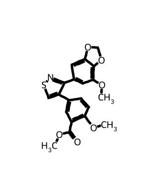 COC(=O)c1cc(-c2csnc2-c2cc(OC)c3c(c2)OCO3)ccc1OC